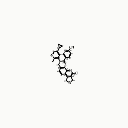 Cc1ncc(C2CC2)cc1N(Cc1ccc2c3c(c(Cl)nc2c1)COC3)C(=O)c1ccc(C#N)nc1